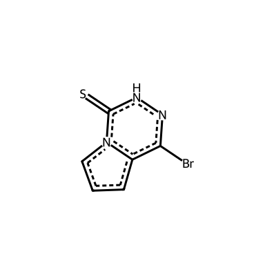 S=c1[nH]nc(Br)c2cccn12